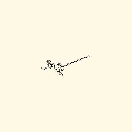 CCCCCCCCCCCCCCCCC[C@H](O)OC[C@H](CC(OCC)OCC)Cn1cnc2c(O)nc(N)nc21